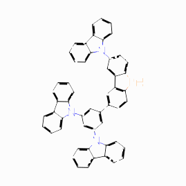 c1ccc2c(c1)c1ccccc1n2-c1cc(-c2ccc3[pH]c4ccc(-n5c6ccccc6c6ccccc65)cc4c3c2)cc(-n2c3ccccc3c3ccccc32)c1